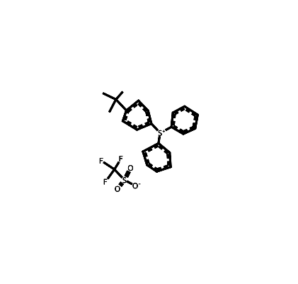 CC(C)(C)c1ccc([S+](c2ccccc2)c2ccccc2)cc1.O=S(=O)([O-])C(F)(F)F